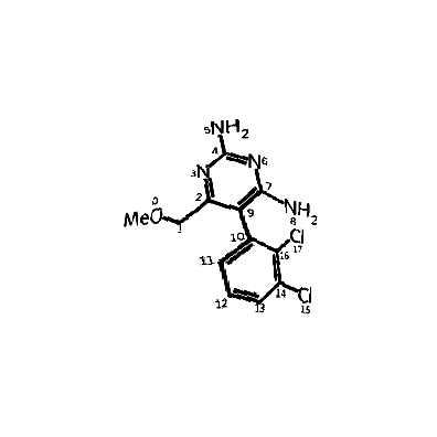 COCc1nc(N)nc(N)c1-c1cccc(Cl)c1Cl